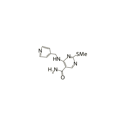 CSc1ncc(C(N)=O)c(NCc2ccncc2)n1